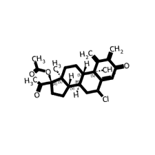 C=C1C(=C)[C@@]2(C)C(=CC1=O)C(Cl)C[C@@H]1[C@@H]2CC[C@@]2(C)[C@H]1CC[C@]2(OC(C)=O)C(C)=O